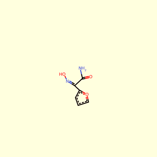 NC(=O)C(=NO)c1ccco1